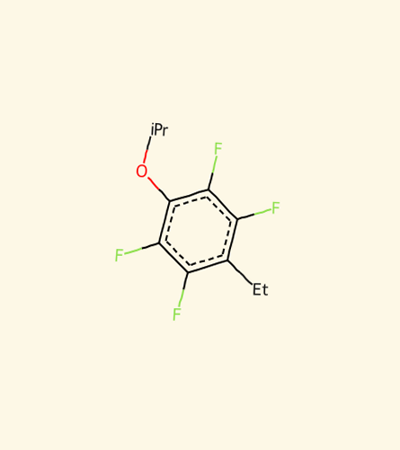 CCc1c(F)c(F)c(OC(C)C)c(F)c1F